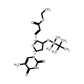 CCOC(=O)C=C[C@H]1O[C@@H](n2cc(C)c(=O)[nH]c2=O)CC1O[Si](C)(C)C(C)(C)C